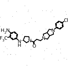 Nc1ccc(N[C@@H]2CCN(C(=O)CCN3CC4CN(c5ccc(Cl)cc5)CC4C3)C2)cc1C(F)(F)F